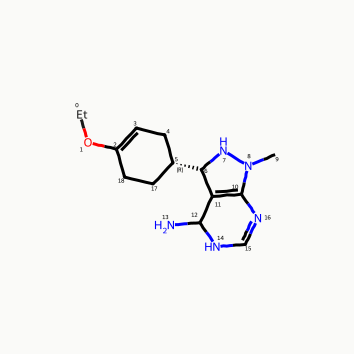 CCOC1=CC[C@H](C2NN(C)C3=C2C(N)NC=N3)CC1